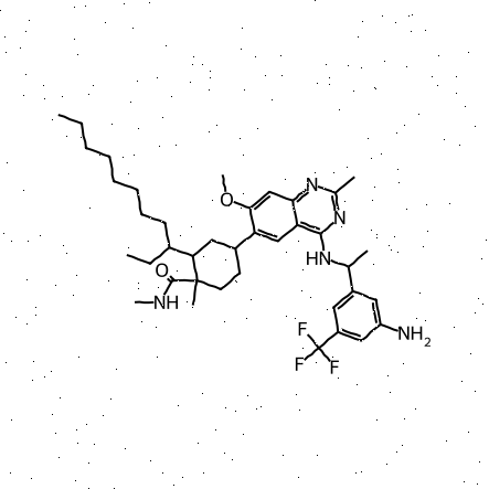 CCCCCCCCC(CC)C1CC(c2cc3c(NC(C)c4cc(N)cc(C(F)(F)F)c4)nc(C)nc3cc2OC)CCC1(C)C(=O)NC